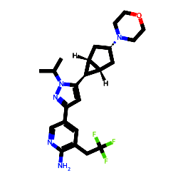 CC(C)n1nc(-c2cnc(N)c(CC(F)(F)F)c2)cc1[C@H]1[C@@H]2C[C@H](N3CCOCC3)C[C@@H]21